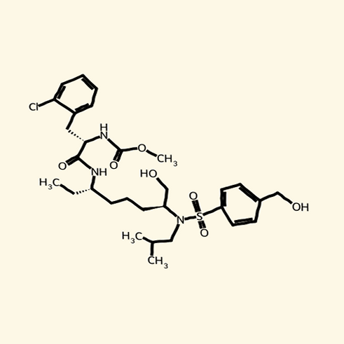 CC[C@@H](CCC[C@@H](CO)N(CC(C)C)S(=O)(=O)c1ccc(CO)cc1)NC(=O)[C@H](Cc1ccccc1Cl)NC(=O)OC